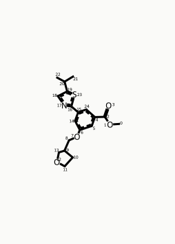 COC(=O)c1cc(OCC2CCOC2)cc(-c2ncc(C(C)C)s2)c1